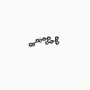 c1ccc(-c2ccccc2-c2ccc(-n3c4ccccc4c4ccccc43)cc2)c(-c2ccc(-c3nc4ccc(-c5ccc6ccccc6c5)cc4o3)cc2)c1